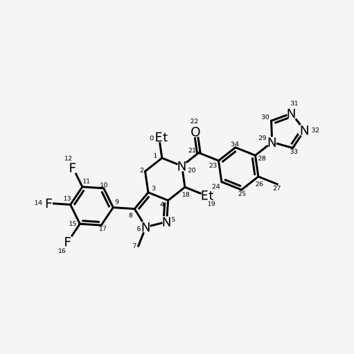 CCC1Cc2c(nn(C)c2-c2cc(F)c(F)c(F)c2)C(CC)N1C(=O)c1ccc(C)c(-n2cnnc2)c1